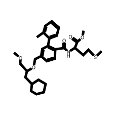 COCC(CC1CCCCC1)OCc1ccc(C(=O)NC(CCSC)C(=O)OC)c(-c2ccccc2C)c1